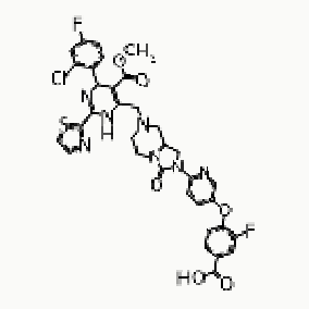 COC(=O)C1=C(CN2CCN3C(=O)N(c4ccc(Oc5ccc(C(=O)O)cc5F)cn4)CC3C2)NC(c2nccs2)=NC1c1ccc(F)cc1Cl